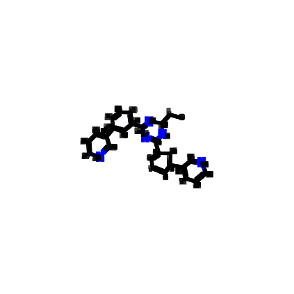 CCc1nc(-c2cccc(-c3cccnc3)c2)nc(-c2cccc(-c3cccnc3)c2)n1